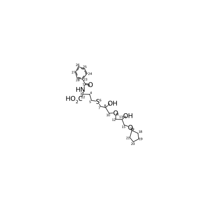 O=C(NC(CCSCC(O)COCC(O)COC1CCCC1)C(=O)O)c1ccccc1